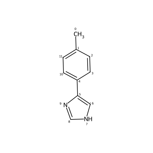 Cc1ccc(-c2[c][nH]cn2)cc1